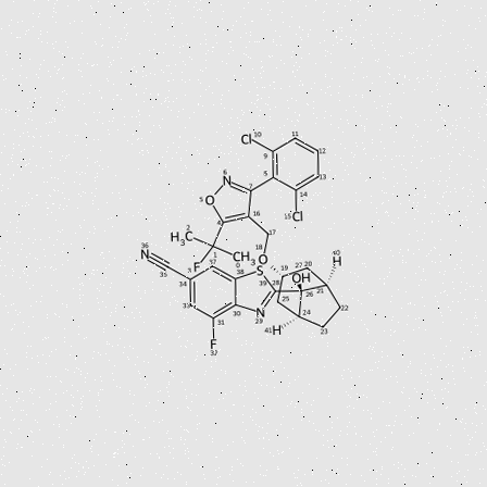 CC(C)(F)c1onc(-c2c(Cl)cccc2Cl)c1CO[C@@H]1C[C@H]2CC[C@@H](C1)[C@]2(O)c1nc2c(F)cc(C#N)cc2s1